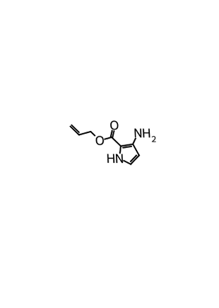 C=CCOC(=O)c1[nH]ccc1N